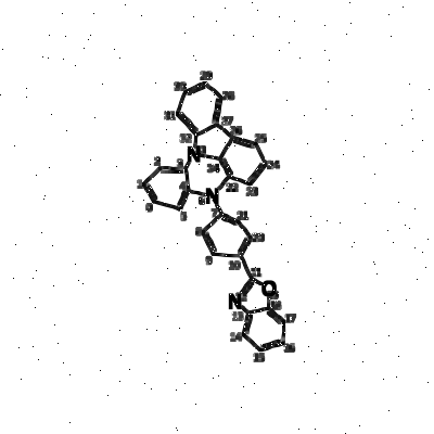 c1ccc2c(c1)N(c1ccc(-c3nc4ccccc4o3)cc1)c1cccc3c4ccccc4n-2c13